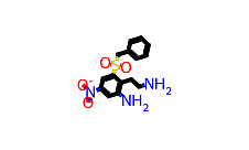 NCCc1c(N)cc([N+](=O)[O-])cc1S(=O)(=O)Cc1ccccc1